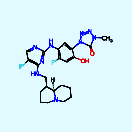 Cn1nnn(-c2cc(Nc3ncc(F)c(NC[C@@H]4CCCN5CCCC[C@H]45)n3)c(F)cc2O)c1=O